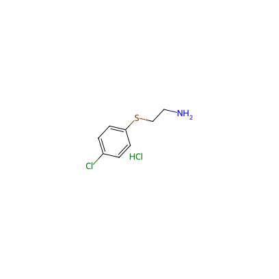 Cl.NCCSc1ccc(Cl)cc1